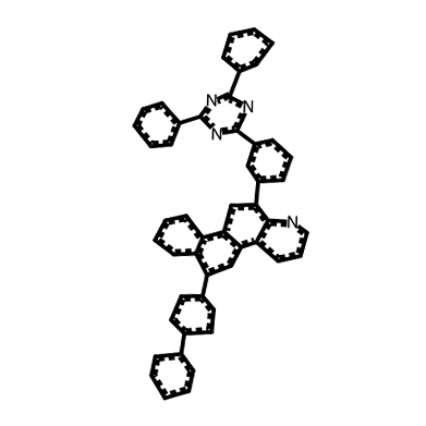 c1ccc(-c2ccc(-c3cc4c5cccnc5c(-c5cccc(-c6nc(-c7ccccc7)nc(-c7ccccc7)n6)c5)cc4c4ccccc34)cc2)cc1